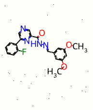 COc1cc(C=NNC(=O)c2cncc(-c3ccccc3F)n2)cc(OC)c1